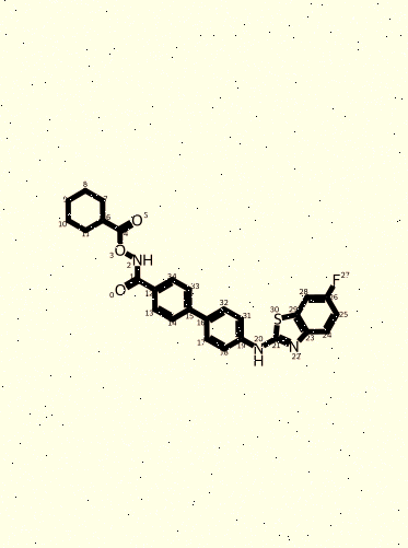 O=C(NOC(=O)C1CCCCC1)c1ccc(-c2ccc(Nc3nc4ccc(F)cc4s3)cc2)cc1